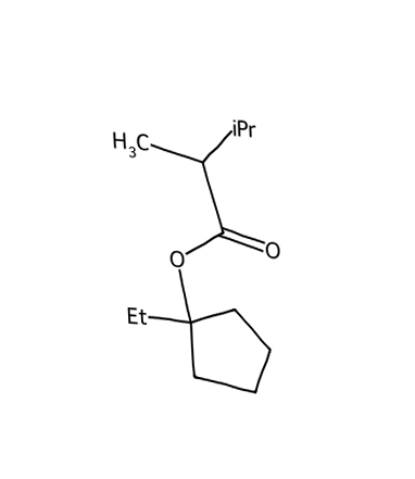 CCC1(OC(=O)C(C)C(C)C)CCCC1